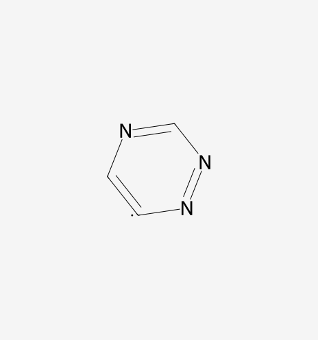 [c]1cncnn1